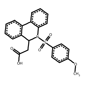 COc1ccc(S(=O)(=O)N2c3ccccc3-c3ccccc3C2CC(=O)O)cc1